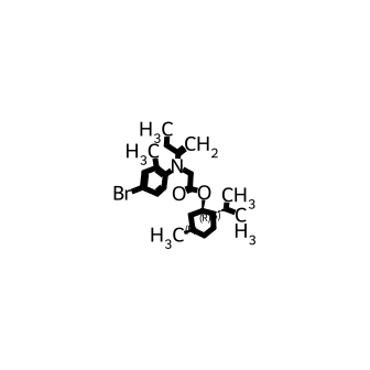 C=C(CC)N(CC(=O)O[C@@H]1C[C@H](C)CC[C@H]1C(C)C)c1ccc(Br)cc1C